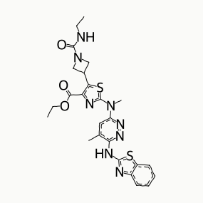 CCNC(=O)N1CC(c2sc(N(C)c3cc(C)c(Nc4nc5ccccc5s4)nn3)nc2C(=O)OCC)C1